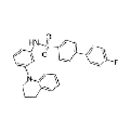 O=S(=O)(Nc1cccc(N2CCCc3ccccc32)c1)c1ccc(-c2ccc(F)cc2)cc1